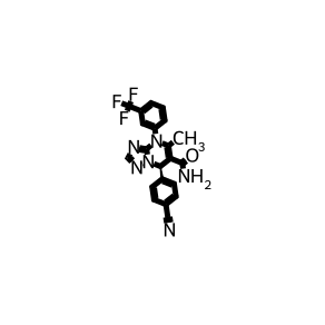 CC1=C(C(N)=O)[C@@H](c2ccc(C#N)cc2)n2ncnc2N1c1cccc(C(F)(F)F)c1